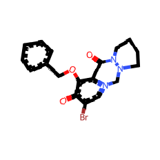 O=C1c2c(OCc3ccccc3)c(=O)c(Br)cn2CN2CCCCN12